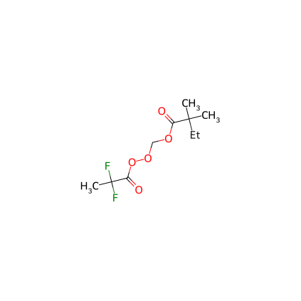 CCC(C)(C)C(=O)OCOOC(=O)C(C)(F)F